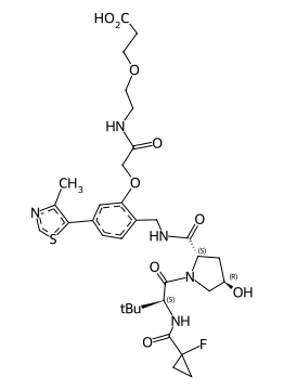 Cc1ncsc1-c1ccc(CNC(=O)[C@@H]2C[C@@H](O)CN2C(=O)[C@@H](NC(=O)C2(F)CC2)C(C)(C)C)c(OCC(=O)NCCOCCC(=O)O)c1